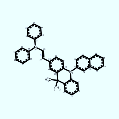 CC1(C)c2ccccc2N(c2ccc3ccccc3c2)c2ccc(/C=C/N(c3ccccc3)c3ccccc3)cc21